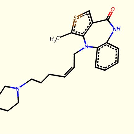 Cc1scc2c1N(C/C=C\CCCN1CCCCC1)c1ccccc1NC2=O